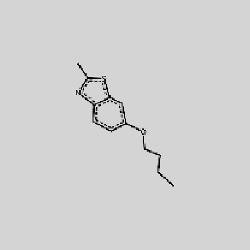 CCCCOc1ccc2nc(C)sc2c1